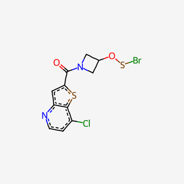 O=C(c1cc2nccc(Cl)c2s1)N1CC(OSBr)C1